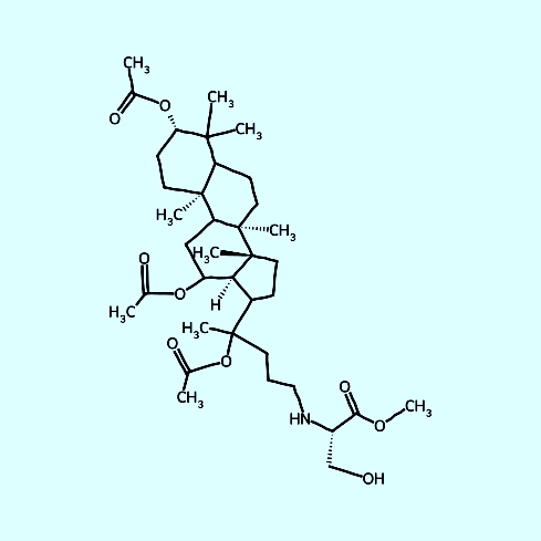 COC(=O)[C@H](CO)NCCCC(C)(OC(C)=O)C1CC[C@]2(C)[C@@H]1C(OC(C)=O)CC1[C@@]3(C)CC[C@H](OC(C)=O)C(C)(C)C3CC[C@]12C